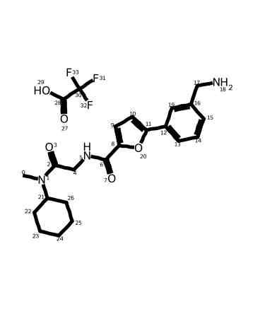 CN(C(=O)CNC(=O)c1ccc(-c2cccc(CN)c2)o1)C1CCCCC1.O=C(O)C(F)(F)F